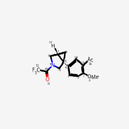 COc1ccc([C@@]23C[C@H]2CN(C(=O)C(F)(F)F)C3)cc1C(C)=O